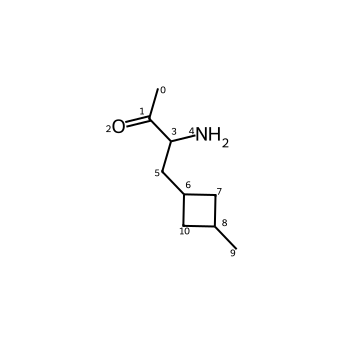 CC(=O)C(N)CC1CC(C)C1